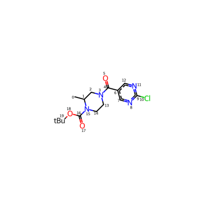 CC1CN(C(=O)c2cnc(Cl)nc2)CCN1C(=O)OC(C)(C)C